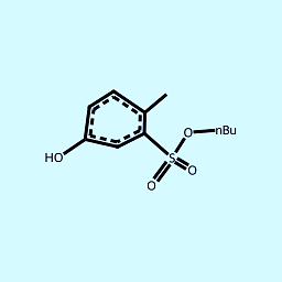 CCCCOS(=O)(=O)c1cc(O)ccc1C